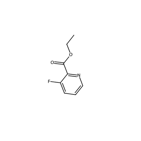 CCOC(=O)c1ncccc1F